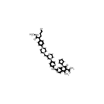 CNC(=O)C(CCC=O)c1ccc(N2CCN(CC3CN(c4ccc(Nc5ncc6c(C)c(C(C)=O)c(=O)n(C7CCCC7)c6n5)nc4)CCO3)CC2)cc1